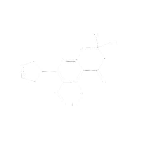 COc1c(C=O)c(C2CC=CC2)cc2c1C(=O)CC(C)(C)O2